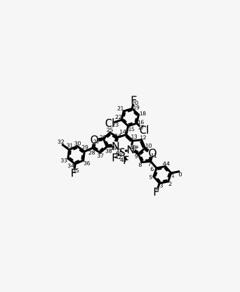 Cc1cc(F)cc(-c2cc3c(o2)=CC2=C(c4c(Cl)cc(F)cc4Cl)c4cc5oc(-c6cc(C)cc(F)c6)cc5n4S(F)(F)[N+]=32)c1